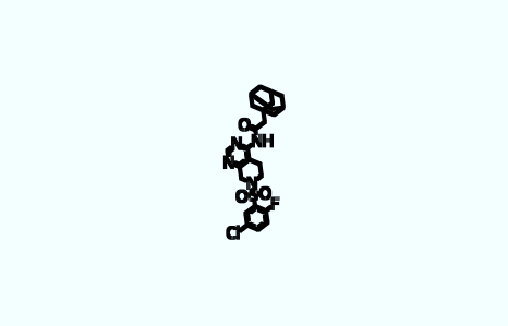 O=C(CC12CC3CC(CC(C3)C1)C2)Nc1ncnc2c1CCN(S(=O)(=O)c1cc(Cl)ccc1F)C2